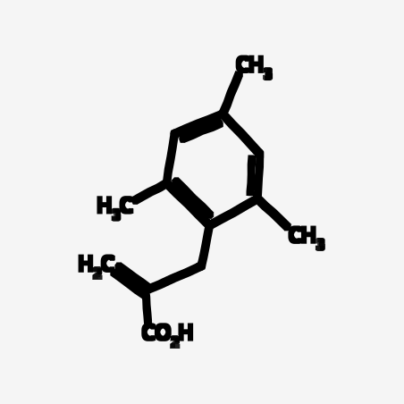 C=C(Cc1c(C)cc(C)cc1C)C(=O)O